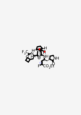 CCOC(=O)/C(F)=C\[C@H](C[C@@H]1CCNC1=O)NC(=O)[C@H]1[C@@H]2CC[C@@H](CC2(F)F)N1C(=O)[C@@H](CC1CCC1)NC(=O)C(F)(F)F